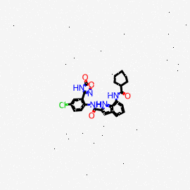 O=C(Nc1ccc(Cl)cc1-c1noc(=O)[nH]1)c1cc2cccc(NC(=O)C3CCCCC3)c2[nH]1